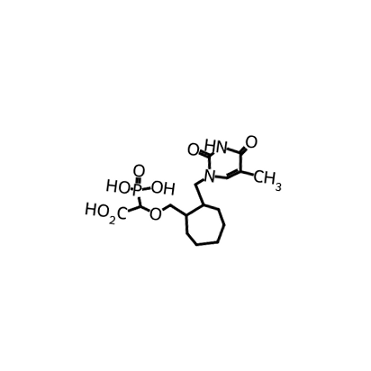 Cc1cn(CC2CCCCCC2COC(C(=O)O)P(=O)(O)O)c(=O)[nH]c1=O